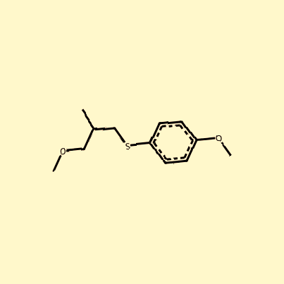 COCC(C)CSc1ccc(OC)cc1